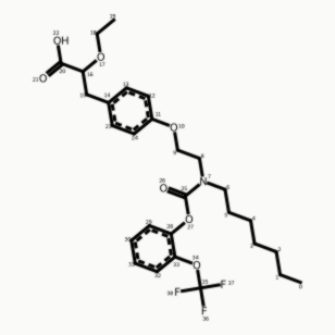 CCCCCCCN(CCOc1ccc(CC(OCC)C(=O)O)cc1)C(=O)Oc1ccccc1OC(F)(F)F